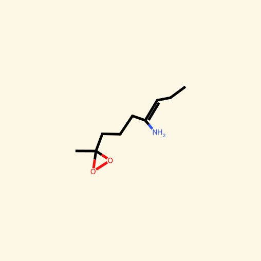 CCC=C(N)CCCC1(C)OO1